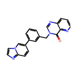 O=c1c2ncccc2ncn1Cc1cccc(-c2ccc3nccn3c2)c1